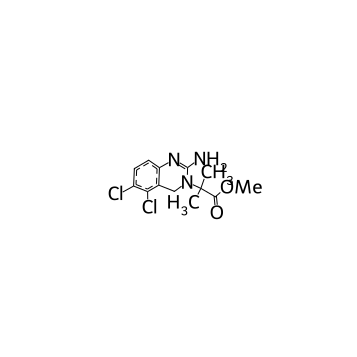 COC(=O)C(C)(C)N1Cc2c(ccc(Cl)c2Cl)N=C1N